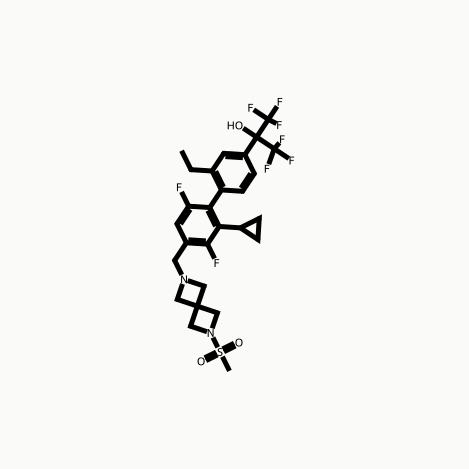 CCc1cc(C(O)(C(F)(F)F)C(F)(F)F)ccc1-c1c(F)cc(CN2CC3(C2)CN(S(C)(=O)=O)C3)c(F)c1C1CC1